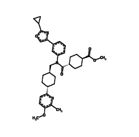 COc1ccc([C@H]2CC[C@H](CN(c3cccc(-c4coc(C5CC5)n4)c3)C(=O)[C@H]3CC[C@H](C(=O)OC)CC3)CC2)nc1C